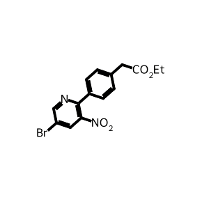 CCOC(=O)Cc1ccc(-c2ncc(Br)cc2[N+](=O)[O-])cc1